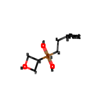 CCCCCCCS(=O)(=O)C1COC1